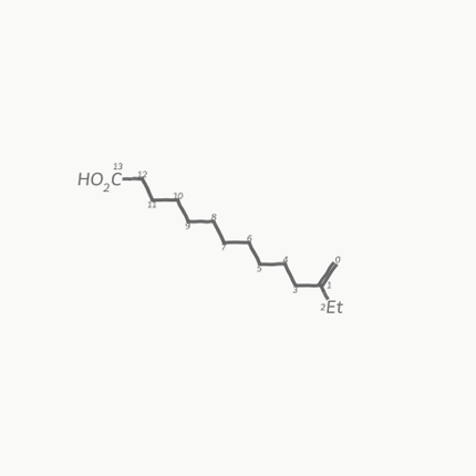 C=C(CC)CCCCCCCCCCC(=O)O